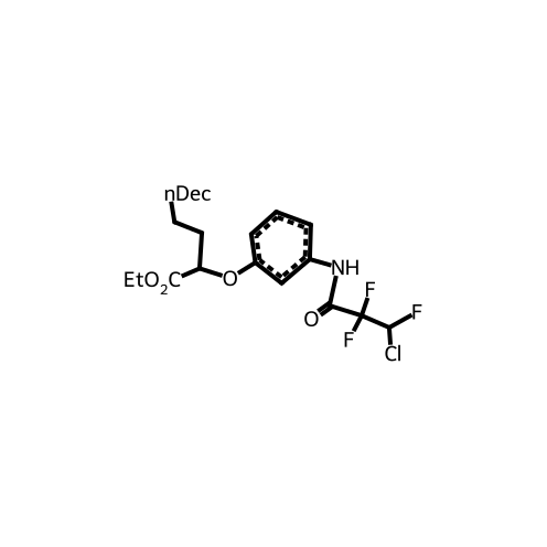 CCCCCCCCCCCCC(Oc1cccc(NC(=O)C(F)(F)C(F)Cl)c1)C(=O)OCC